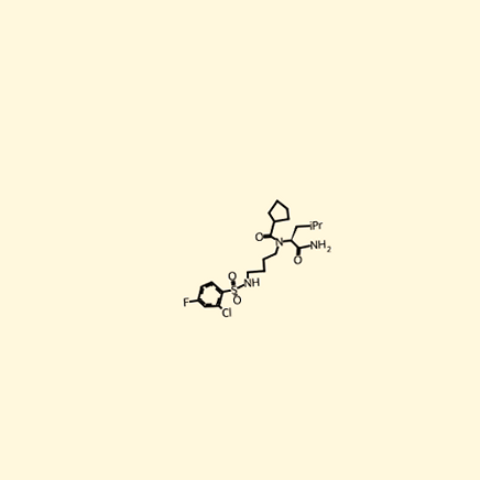 CC(C)C[C@@H](C(N)=O)N(CCCCNS(=O)(=O)c1ccc(F)cc1Cl)C(=O)C1CCCC1